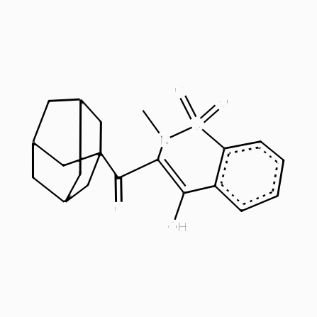 CN1C(C(=O)C23CC4CC(CC(C4)C2)C3)=C(O)c2ccccc2S1(=O)=O